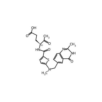 CC(=O)[C@H](CCC(=O)O)NC(=O)c1ccc(N(C)Cc2ccc3nc(C)[nH]c(=O)c3c2)s1